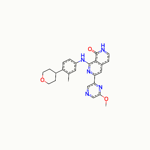 COc1cncc(-c2cc3cc[nH]c(=O)c3c(Nc3ccc(C4CCOCC4)c(C)c3)n2)n1